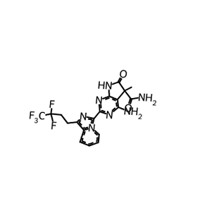 CC1(C(N)=O)C(=O)Nc2nc(-c3nc(CCC(F)(F)C(F)(F)F)c4ccccn34)nc(N)c21